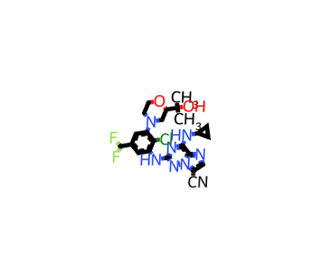 CC(C)(O)C1CN(c2cc(C(F)F)cc(Nc3nc(NC4CC4)c4ncc(C#N)n4n3)c2Cl)CCO1